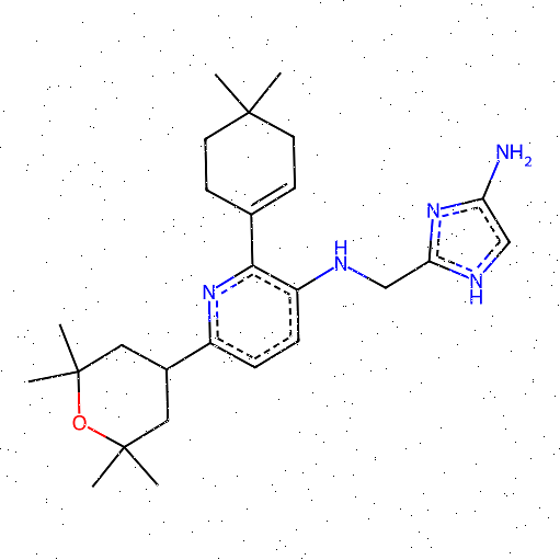 CC1(C)CC=C(c2nc(C3CC(C)(C)OC(C)(C)C3)ccc2NCc2nc(N)c[nH]2)CC1